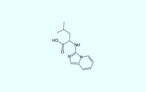 CC(C)CC(Nc1ncc2ccccn12)C(=O)O